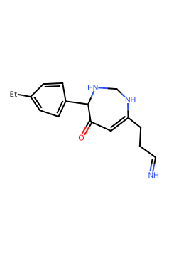 CCc1ccc(C2NCNC(CCC=N)=CC2=O)cc1